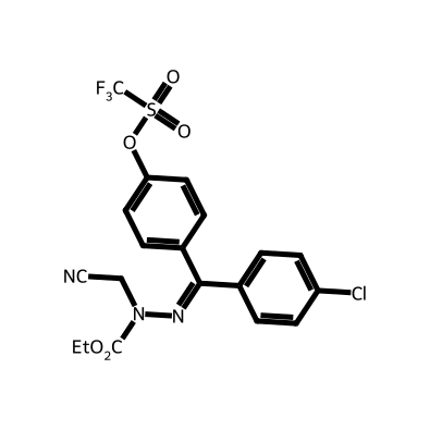 CCOC(=O)N(CC#N)N=C(c1ccc(Cl)cc1)c1ccc(OS(=O)(=O)C(F)(F)F)cc1